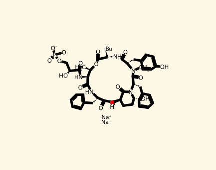 CC[C@H](C)[C@@H]1NC(=O)[C@H](Cc2ccc(O)cc2)N(C)C(=O)[C@H](Cc2ccccc2)N2C(=O)[C@H](CC[C@H]2O)NC(=O)[C@H](Cc2ccccc2)NC(=O)[C@@H](NC(=O)[C@@H](O)COP(=O)([O-])[O-])[C@@H](C)OC1=O.[Na+].[Na+]